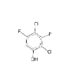 Oc1cc(F)c(Cl)c(F)c1Cl